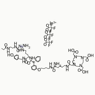 CCC(=O)NCCNC(=O)/N=C(/N)NCCCC(NC(=O)[C@H](c1ccccc1)c1cccc(OCCCCNC(=O)[C@H](N)CCCCNC(=O)CN2CCN(CC(=O)O)CCN(CC(=O)O)CCN(CC(=O)O)CC2)c1)C(=O)NCc1ccc(O)cc1.O=C([O-])C(F)(F)F.O=C([O-])C(F)(F)F.O=C([O-])C(F)(F)F.[In+3]